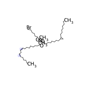 CCCCC/C=C\C/C=C\CCCCCCCCOC(CCCCCCCC1CC1CCCCCCCC)O[Si](C)(C)OCCCCCCBr